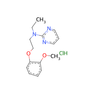 CCN(CCOc1ccccc1OC)c1ncccn1.Cl